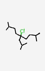 CC(C)CCC(Cl)(CCC(C)C)CC(C)C